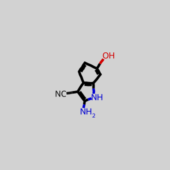 N#Cc1c(N)[nH]c2cc(O)ccc12